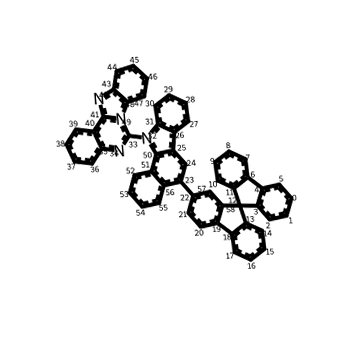 c1ccc2c(c1)-c1ccccc1C21c2ccccc2-c2ccc(-c3cc4c5ccccc5n(-c5nc6ccccc6c6nc7ccccc7n56)c4c4ccccc34)cc21